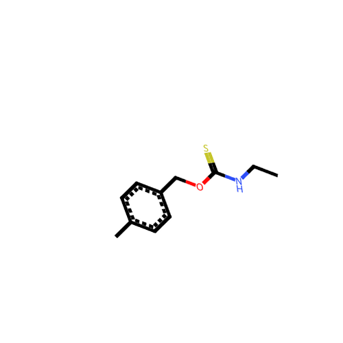 CCNC(=S)OCc1ccc(C)cc1